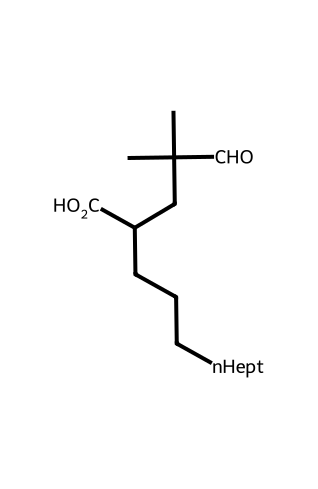 CCCCCCCCCCC(CC(C)(C)C=O)C(=O)O